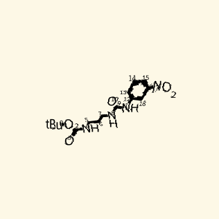 CC(C)(C)OC(=O)NCCCNC(=O)Nc1cccc([N+](=O)[O-])c1